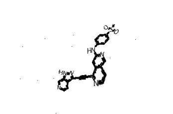 CS(=O)(=O)c1ccc(Nc2cc3c(C#Cc4n[nH]c5cnccc45)nccc3cn2)cc1